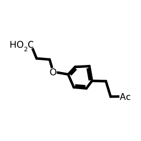 CC(=O)CCc1ccc(OCCC(=O)O)cc1